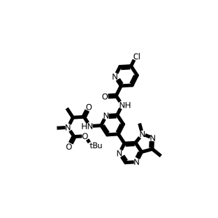 Cc1nn(C)c2c(-c3cc(NC(=O)c4ccc(Cl)cn4)nc(NC(=O)C(C)N(C)C(=O)OC(C)(C)C)c3)ncnc12